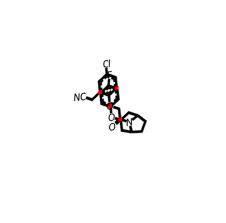 N#CCc1cc(Cl)ccc1OCC(=O)N1C2CCC1CC(Oc1ccc(F)cc1)C2